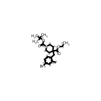 CCOC(=O)C1(Cc2ccc(Br)cc2F)CCN(C(=O)OC(C)(C)C)CC1